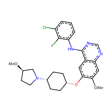 COc1cc2ncnc(Nc3cccc(Cl)c3F)c2cc1O[C@H]1CC[C@@H](N2CC[C@@H](OC)C2)CC1